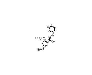 CCOC(=O)[C@H]1C[C@@H](OCC)CN1C(=O)OCc1ccccc1